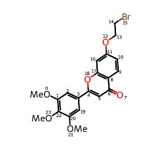 COc1cc(-c2cc(=O)c3ccc(OCCBr)cc3o2)cc(OC)c1OC